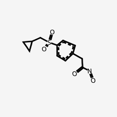 O=NC(=O)Cc1ccc(S(=O)(=O)CC2CC2)cc1